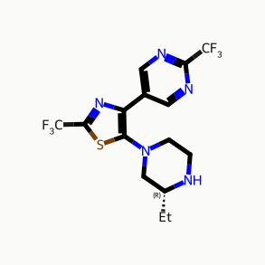 CC[C@@H]1CN(c2sc(C(F)(F)F)nc2-c2cnc(C(F)(F)F)nc2)CCN1